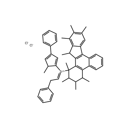 Cc1cc2c(c(C)c1C)C(C)c1c3c(c4ccccc4c1-2)C(C)C(C)C(C)[C]3(C)[Zr+2](=[CH]Cc1ccccc1)[C]1=CC(c2ccccc2)=CC1C.[Cl-].[Cl-]